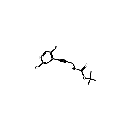 CC(C)(C)OC(=O)NCC#Cc1cc(Cl)ncc1F